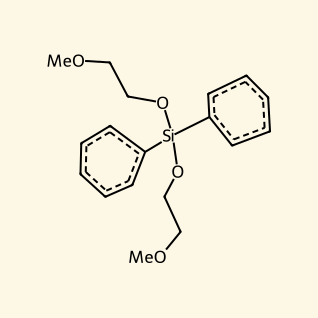 COCCO[Si](OCCOC)(c1ccccc1)c1ccccc1